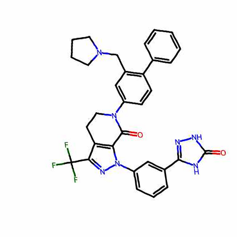 O=C1c2c(c(C(F)(F)F)nn2-c2cccc(-c3n[nH]c(=O)[nH]3)c2)CCN1c1ccc(-c2ccccc2)c(CN2CCCC2)c1